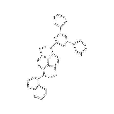 c1cncc(-c2cc(-c3cccnc3)cc(-c3ccc4ccc5c(-c6cccc7ncccc67)ccc6ccc3c4c65)c2)c1